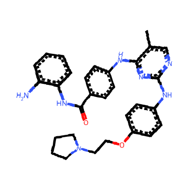 Cc1cnc(Nc2ccc(OCCN3CCCC3)cc2)nc1Nc1ccc(C(=O)Nc2ccccc2N)cc1